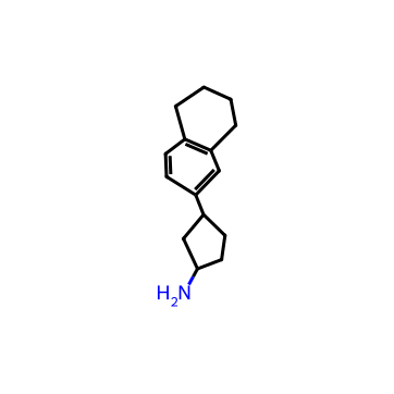 NC1CCC(c2ccc3c(c2)CCCC3)C1